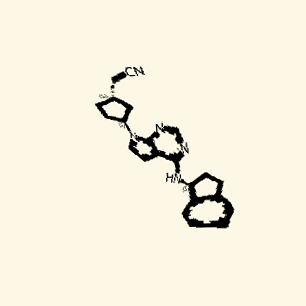 N#CC[C@H]1CC[C@H](n2ccc3c(N[C@H]4CCc5ccccc54)ncnc32)C1